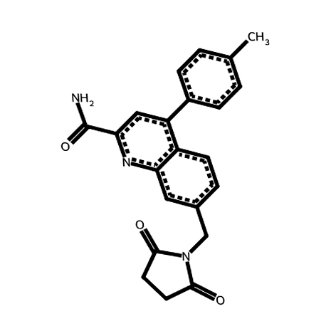 Cc1ccc(-c2cc(C(N)=O)nc3cc(CN4C(=O)CCC4=O)ccc23)cc1